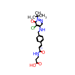 CC(C)(C)n1ncc(NCc2ccc(/C=C/C(=O)NCCC(=O)O)cc2)c(Cl)c1=O